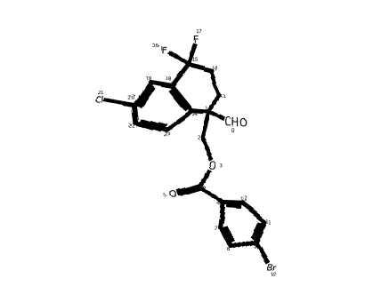 O=CC1(COC(=O)c2ccc(Br)cc2)CCC(F)(F)c2cc(Cl)ccc21